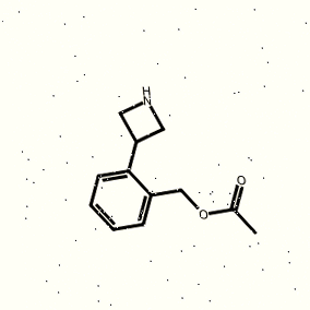 CC(=O)OCc1ccccc1C1CNC1